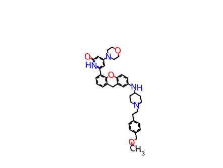 COCc1ccc(CCN2CCC(Nc3ccc4c(c3)Cc3cccc(-c5cc(N6CCOCC6)cc(=O)[nH]5)c3O4)CC2)cc1